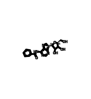 O=C(Nc1ncnc2c1ncn2[C@@H]1O[C@H](CO)C(O)C1O)c1ccccc1